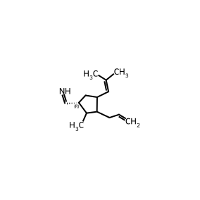 C=CCC1C(C=C(C)C)C[C@@H](C=N)C1C